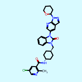 Cc1ncc(Cl)cc1C(=O)N[C@H]1CC[C@H](Cn2c(=O)n(-c3cnc4c(cnn4C4CCCCO4)c3)c3ccccc32)CC1